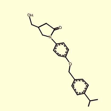 CC(C)c1ccc(COc2ccc(N3CC(CO)CC3=O)cc2)cc1